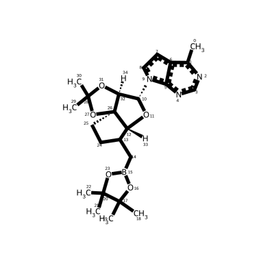 Cc1ncnc2c1ccn2[C@@H]1O[C@@H]2C(CB3OC(C)(C)C(C)(C)O3)CC[C@@]23OC(C)(C)O[C@@H]13